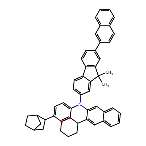 CC1(C)c2cc(-c3ccc4ccccc4c3)ccc2-c2ccc(N(c3ccc(C4CC5CCC4C5)cc3)c3cc4ccccc4cc3C3CCCCC3)cc21